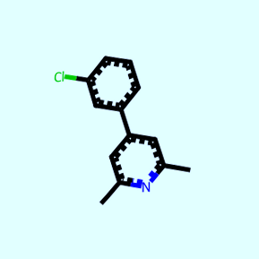 Cc1cc(-c2cccc(Cl)c2)cc(C)n1